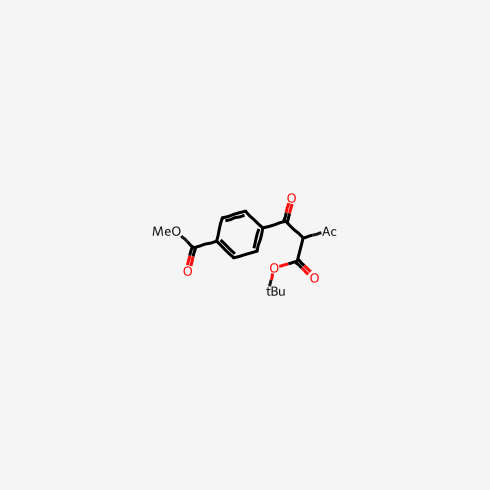 COC(=O)c1ccc(C(=O)C(C(C)=O)C(=O)OC(C)(C)C)cc1